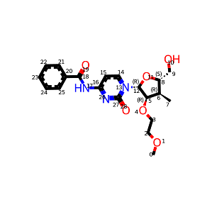 COCCO[C@@H]1[C@H](C)[C@@H](CO)O[C@H]1n1ccc(NC(=O)c2ccccc2)nc1=O